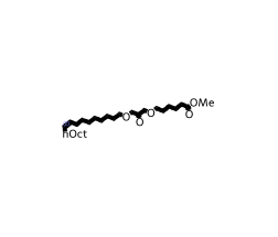 CCCCCCCC/C=C\CCCCCCCCOCC(=O)COCCCCCC(=O)OC